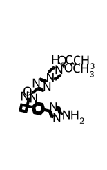 CC(C)(C)OC(=O)N1CCN(c2cnc(-c3nc(C4(c5ccc(-c6cnc(N)cn6)cc5)CCC4)no3)cn2)CC1